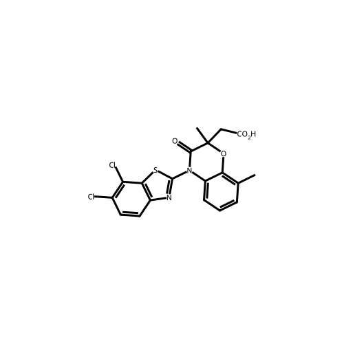 Cc1cccc2c1OC(C)(CC(=O)O)C(=O)N2c1nc2ccc(Cl)c(Cl)c2s1